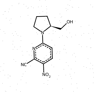 N#Cc1nc(N2CCC[C@H]2CO)ccc1[N+](=O)[O-]